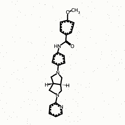 COc1ccc(C(=O)Nc2ccc(N3C[C@H]4CN(c5ccccn5)C[C@@H]4C3)cc2)cc1